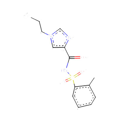 Cc1ccccc1S(=O)(=O)NC(=O)c1cn(CCC(F)(F)F)cn1